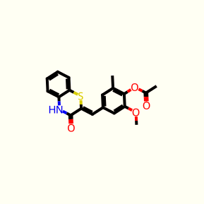 COc1cc(C=C2Sc3ccccc3NC2=O)cc(C)c1OC(C)=O